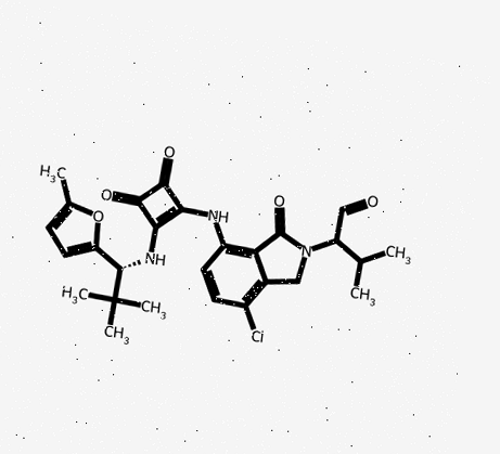 Cc1ccc([C@H](Nc2c(Nc3ccc(Cl)c4c3C(=O)N(C(C=O)C(C)C)C4)c(=O)c2=O)C(C)(C)C)o1